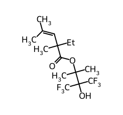 CCC(C)(C=C(C)C)C(=O)OC(C)(C)C(O)(C(F)(F)F)C(F)(F)F